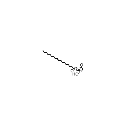 CCCCCCCCC=CCCCCCCCC(=O)OCC1(CO)CCC(=O)O1